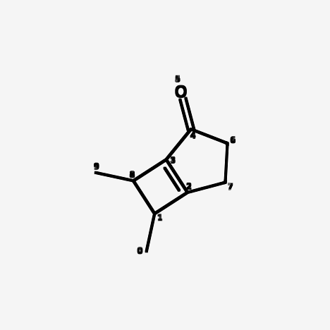 CC1C2=C(C(=O)CC2)C1C